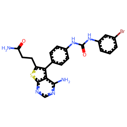 NC(=O)CCc1sc2ncnc(N)c2c1-c1ccc(NC(=O)Nc2cccc(Br)c2)cc1